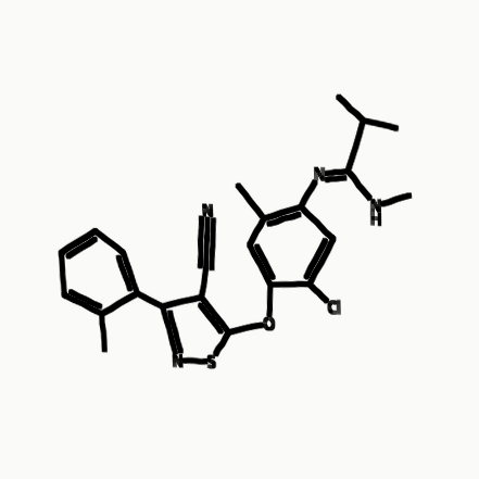 CNC(=Nc1cc(Cl)c(Oc2snc(-c3ccccc3C)c2C#N)cc1C)C(C)C